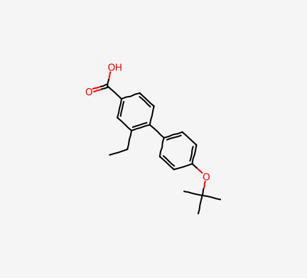 CCc1cc(C(=O)O)ccc1-c1ccc(OC(C)(C)C)cc1